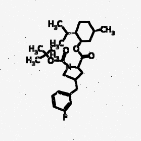 CC(C)[C@@H]1CC[C@@H](C)C[C@H]1OC(=O)C1CC(Cc2cccc(F)c2)CN1C(=O)OC(C)(C)C